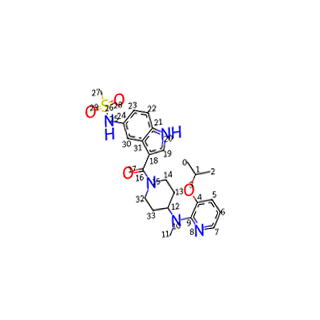 CC(C)Oc1cccnc1N(C)C1CCN(C(=O)c2c[nH]c3ccc(NS(C)(=O)=O)cc23)CC1